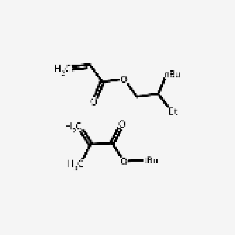 C=C(C)C(=O)OC(C)(C)C.C=CC(=O)OCC(CC)CCCC